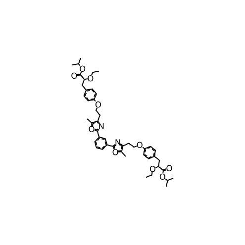 CCOC(Cc1ccc(OCCc2nc(-c3cccc(-c4nc(CCOc5ccc(CC(OCC)C(=O)OC(C)C)cc5)c(C)o4)c3)oc2C)cc1)C(=O)OC(C)C